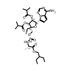 CCC(CC)COC(=O)[C@H](C)N[PH](=O)OC[C@@]1(CF)O[C@@H](c2ccc3c(N)ncnn23)[C@H](OC(=O)C(C)C)[C@@H]1OC(=O)C(C)C